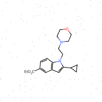 CCOC(=O)c1ccc2c(c1)cc(C1CC1)n2CCN1CCOCC1